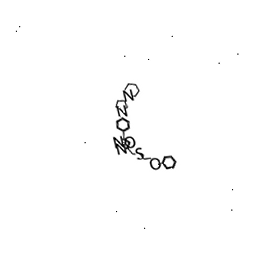 c1ccc(OCCSCc2nnc(-c3ccc(N4CCC(N5CCCCC5)C4)cc3)o2)cc1